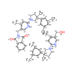 O=C1c2ccccc2C(=O)N1Cc1cnc(N2CCC(c3cc(C(F)(F)F)cc(C(F)(F)F)c3)(C(F)(F)F)C2)cc1C(F)(F)F.OCc1cnc(N2CCC(c3cc(C(F)(F)F)cc(C(F)(F)F)c3)(C(F)(F)F)C2)cc1C(F)(F)F